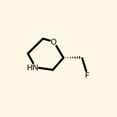 FC[C@@H]1CNCCO1